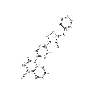 O=C1N(Cc2ccccc2)CCN1c1ccc(-c2n[nH]c(=O)c3ccccc23)cc1